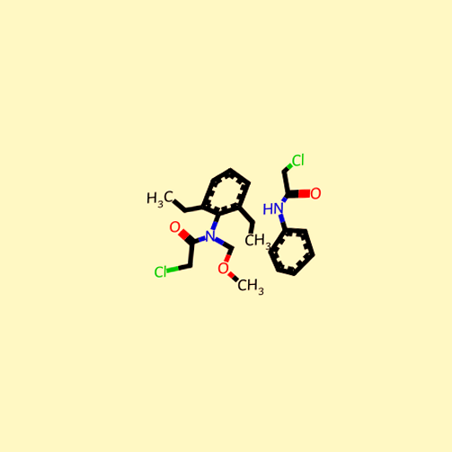 CCc1cccc(CC)c1N(COC)C(=O)CCl.O=C(CCl)Nc1ccccc1